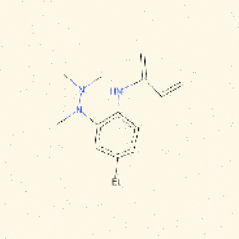 C=CC(=C)Nc1ccc(CC)cc1N(C)N(C)C